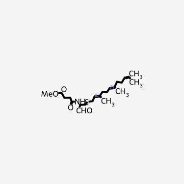 COC(=O)CCC(=O)NC(C=O)CSC/C=C(\C)CC/C=C(\C)CCC=C(C)C